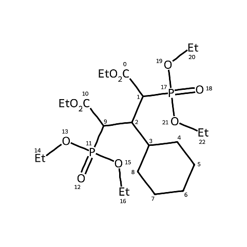 CCOC(=O)C(C(C1CCCCC1)C(C(=O)OCC)P(=O)(OCC)OCC)P(=O)(OCC)OCC